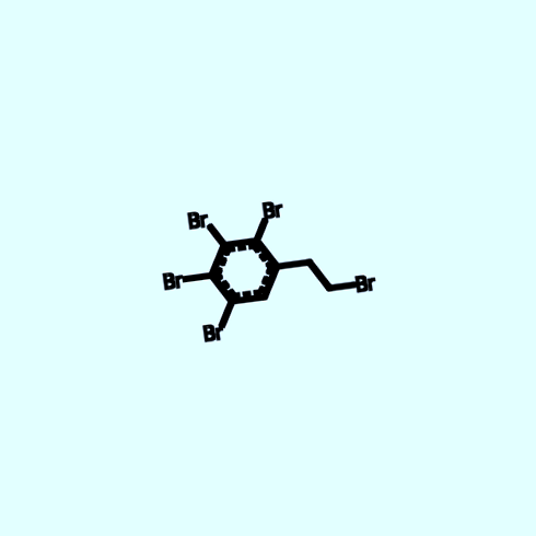 BrCCc1cc(Br)c(Br)c(Br)c1Br